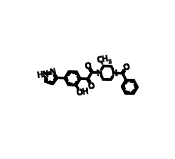 C[C@@H]1CN(C(=O)c2ccccc2)CCN1C(=O)C(=O)c1ccc(-c2cc[nH]n2)cc1O